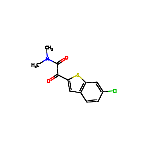 CN(C)C(=O)C(=O)c1cc2ccc(Cl)cc2s1